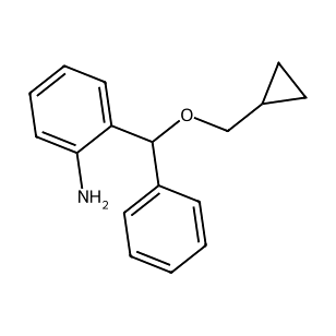 Nc1ccccc1C(OCC1CC1)c1ccccc1